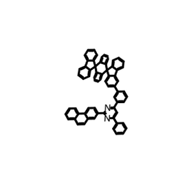 c1ccc(-c2cc(-c3cccc(-c4ccc5c(c4)-c4ccccc4C54c5ccccc5C5(c6ccccc6-c6ccccc65)c5ccccc54)c3)nc(-c3ccc4c(ccc5ccccc54)c3)n2)cc1